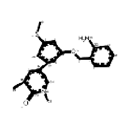 CSc1cc(OCc2ccccc2N)cc(-c2cc(C)c(=O)n(C)c2)c1